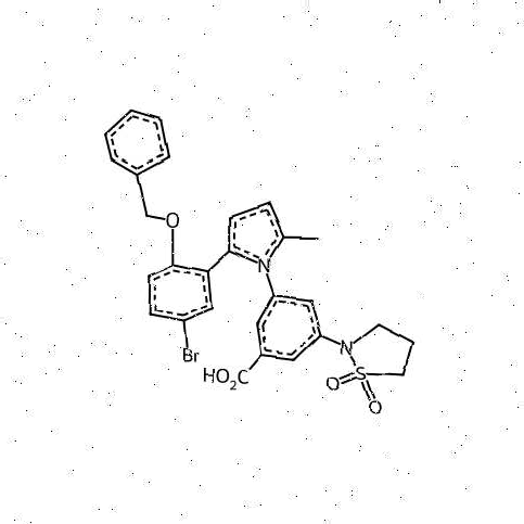 Cc1ccc(-c2cc(Br)ccc2OCc2ccccc2)n1-c1cc(C(=O)O)cc(N2CCCS2(=O)=O)c1